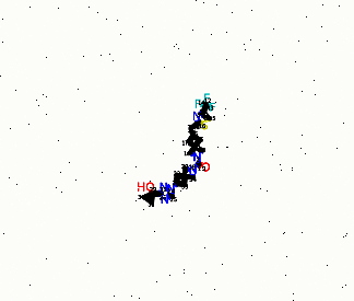 O=C(N1CC2(CC(Cc3nc(C(F)(F)F)cs3)C2)C1)N1CC2(CC(n3cnc(C4(O)CC4)n3)C2)C1